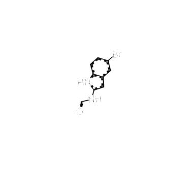 O=CNc1cc2cc(Br)ccc2[nH]1